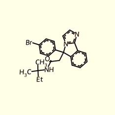 CCC(C)(C)NC(=O)CC1(c2ccc(Br)cc2)c2ccccc2-c2nccn21